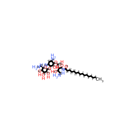 CCCCCCCCCCCCCCCC(=O)NCC(O[C@@H](CO)O[C@@H]1C(O)C(O[C@H]2O[C@H](CN)[C@@H](O)C(O)C2O)[C@@H](N)C[C@H]1N)[C@@H](O)CN